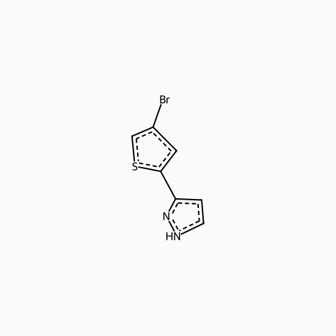 Brc1csc(-c2cc[nH]n2)c1